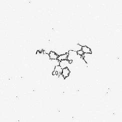 Cc1cccc2c1c(Cn1c(=O)n(C(CC(=O)O)c3ccccc3)c3nc(C#N)ccc31)cn2C